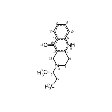 CC[C@H](C)N1CCc2[nH]c3ccccc3c(=O)c2C1